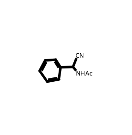 CC(=O)NC(C#N)c1[c]cccc1